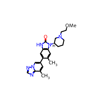 COCCN1CCC[C@@H](n2c(=O)[nH]c3cc(-c4cc(C)c5ncnn5c4)c(C)cc32)C1